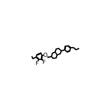 CCCc1ccc(C2CCC3CC(COc4ccc(CC)c(F)c4F)CCC3C2)cc1